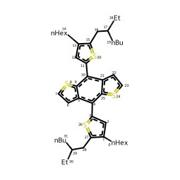 CCCCCCc1cc(-c2c3ccsc3c(-c3cc(CCCCCC)c(CC(CC)CCCC)s3)c3ccsc23)sc1CC(CC)CCCC